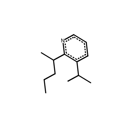 CCCC(C)c1ncccc1C(C)C